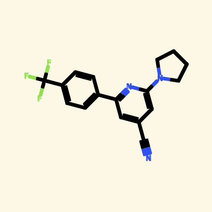 N#Cc1cc(-c2ccc(C(F)(F)F)cc2)nc(N2CCCC2)c1